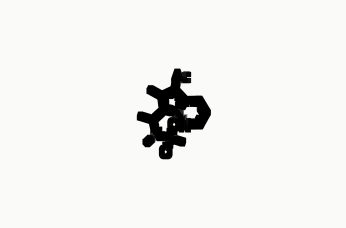 CC(=O)c1c(C)c(C(C)N(C)S(C)(=O)=O)n2ncccc12